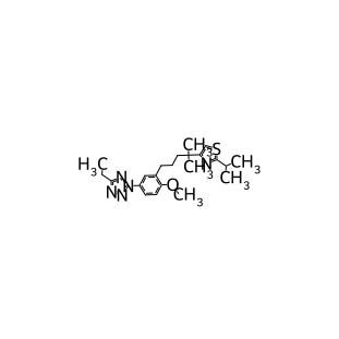 CCc1nnn(-c2ccc(OC)c(CCCC(C)(C)c3csc(C(C)C)n3)c2)n1